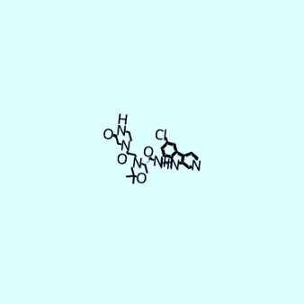 CC1(C)CN(CC(=O)N2CCNC(=O)C2)[C@H](C(=O)Nc2cc(Cl)cc3c2[nH]c2cnccc23)CO1